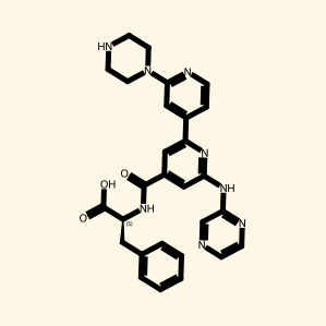 O=C(N[C@@H](Cc1ccccc1)C(=O)O)c1cc(Nc2cnccn2)nc(-c2ccnc(N3CCNCC3)c2)c1